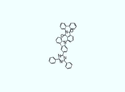 O=C1c2cccc(-n3c4ccccc4c4cc(-c5nc(-c6ccccc6)nc(-c6ccccc6)n5)ccc43)c2C(=O)N1c1ccccc1-c1ccccc1